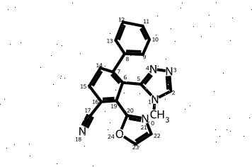 Cn1cnnc1-c1c(-c2ccccc2)ccc(C#N)c1-c1ncco1